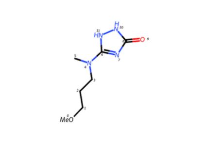 COCCCN(C)c1nc(=O)[nH][nH]1